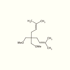 COCC(CC=C(C)C)(CC=C(C)C)COC